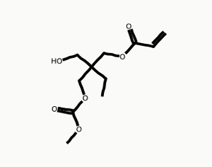 C=CC(=O)OCC(CC)(CO)COC(=O)OC